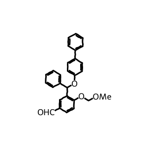 COCOc1ccc(C=O)cc1C(Oc1ccc(-c2ccccc2)cc1)c1ccccc1